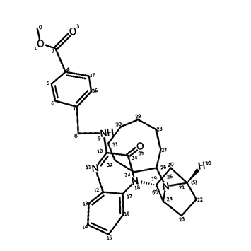 COC(=O)c1ccc(CNc2nc3ccccc3n([C@@H]3C[C@@H]4CCC3N4C3CCCCCCC3)c2=O)cc1